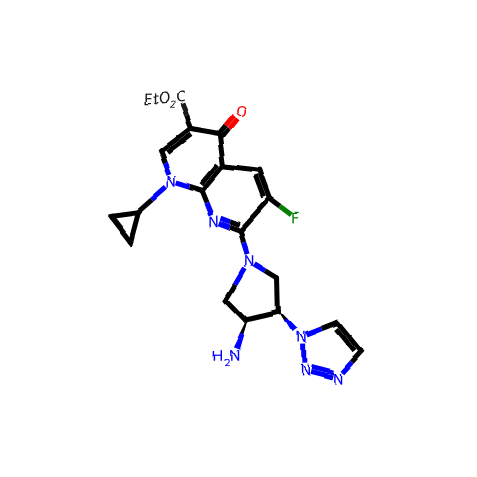 CCOC(=O)c1cn(C2CC2)c2nc(N3C[C@@H](n4ccnn4)[C@@H](N)C3)c(F)cc2c1=O